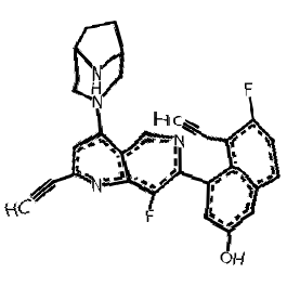 C#Cc1cc(N2CC3CCC(C2)N3)c2cnc(-c3cc(O)cc4ccc(F)c(C#C)c34)c(F)c2n1